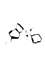 Cc1ccc2ccn(S(=O)(=O)c3ccccc3)c2c1